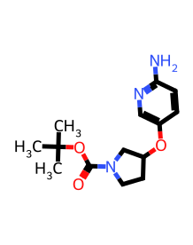 CC(C)(C)OC(=O)N1CCC(Oc2ccc(N)nc2)C1